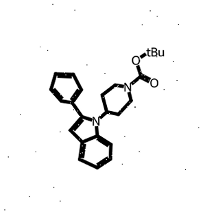 CC(C)(C)OC(=O)N1CCC(n2c(-c3ccccc3)cc3ccccc32)CC1